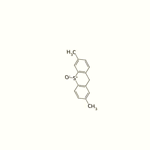 Cc1ccc2c(c1)Cc1ccc(C)cc1[S+]2[O-]